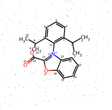 CC(C)c1cccc(C(C)C)c1-[n+]1c(C(=O)[O-])oc2ccccc21